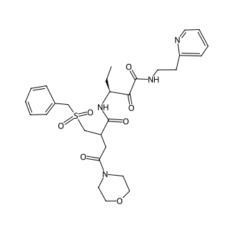 CC[C@H](NC(=O)C(CC(=O)N1CCOCC1)CS(=O)(=O)Cc1ccccc1)C(=O)C(=O)NCCc1ccccn1